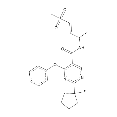 CC(/C=C/S(C)(=O)=O)NC(=O)c1cnc(C2(F)CCCC2)nc1Oc1ccccc1